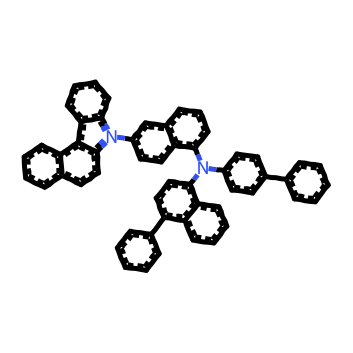 c1ccc(-c2ccc(N(c3cccc4cc(-n5c6ccccc6c6c7ccccc7ccc65)ccc34)c3ccc(-c4ccccc4)c4ccccc34)cc2)cc1